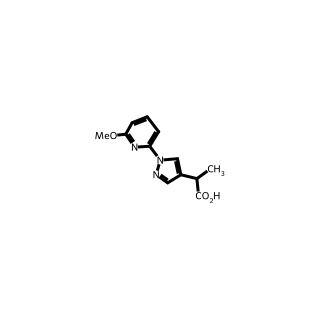 COc1cccc(-n2cc(C(C)C(=O)O)cn2)n1